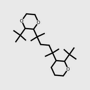 CC(C)(C)C1OCCCC1C(C)(C)CCC(C)(C)C1OCCOC1C(C)(C)C